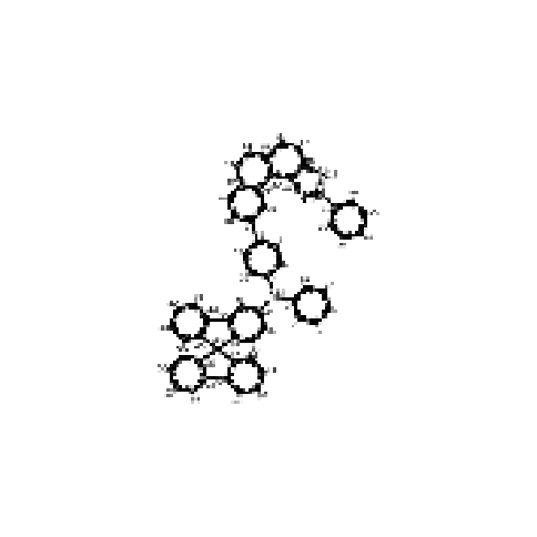 c1ccc(N(c2ccc(-c3ccc4ccc5ccc6nn(-c7ccccc7)nc6c5c4c3)cc2)c2ccc3c(c2)-c2ccccc2C32c3ccccc3-c3ccccc32)cc1